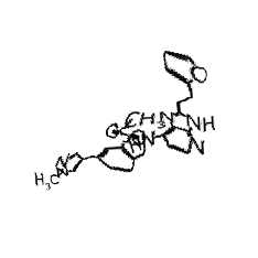 Cn1cc(-c2ccc(CNc3ccnc4[nH]c(CCc5ccco5)nc34)c(S(C)(=O)=O)c2)cn1